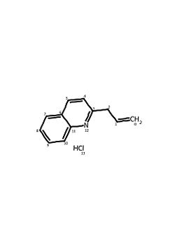 C=CCc1ccc2ccccc2n1.Cl